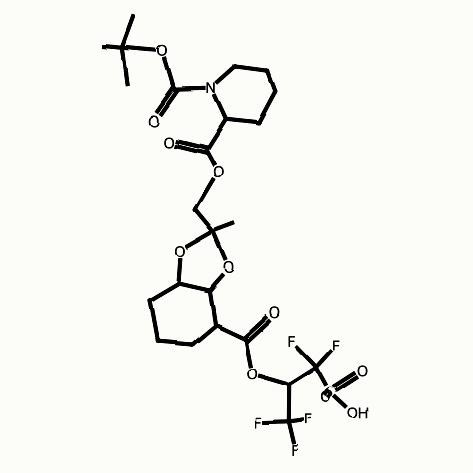 CC(C)(C)OC(=O)N1CCCCC1C(=O)OCC1(C)OC2CCCC(C(=O)OC(C(F)(F)F)C(F)(F)S(=O)(=O)O)C2O1